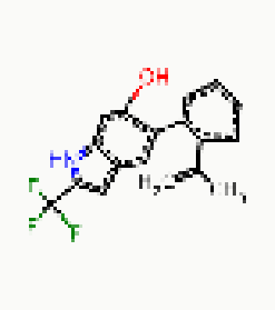 C=C(C)c1ccccc1-c1cc2cc(C(F)(F)F)[nH]c2cc1O